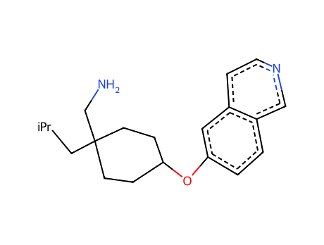 CC(C)CC1(CN)CCC(Oc2ccc3cnccc3c2)CC1